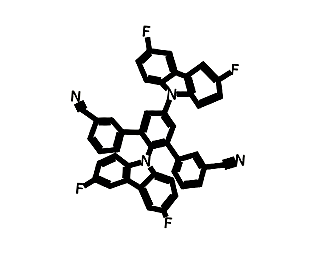 N#Cc1cccc(-c2cc(-n3c4ccc(F)cc4c4cc(F)ccc43)cc(-c3cccc(C#N)c3)c2-n2c3ccc(F)cc3c3cc(F)ccc32)c1